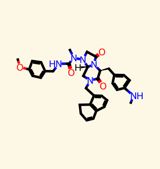 CNc1ccc(C[C@H]2C(=O)N(Cc3cccc4c3CCC=C4)C[C@H]3N2C(=O)CN3N(C)C(=O)NCc2ccc(OC)cc2)cc1